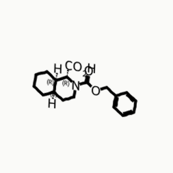 O=C(O)[C@H]1[C@@H]2CCCC[C@@H]2CCN1C(=O)OCc1ccccc1